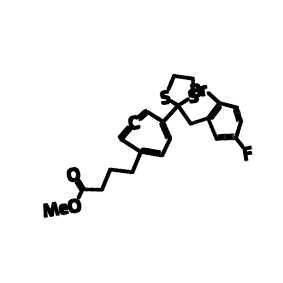 COC(=O)CCCC1=CC=C(C2(Cc3cc(F)ccc3Br)SCCS2)C=C=C1